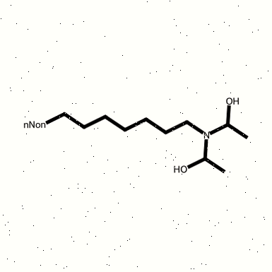 CCCCCCCCCCCCCCCCN(C(C)O)C(C)O